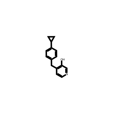 Oc1cnccc1Cc1ccc(C2CC2)cc1